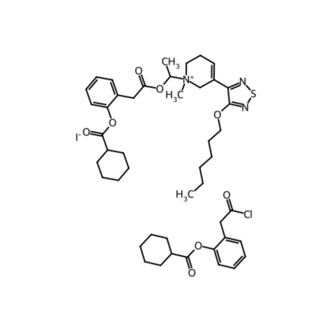 CCCCCCOc1nsnc1C1=CCC[N+](C)(C(C)OC(=O)Cc2ccccc2OC(=O)C2CCCCC2)C1.O=C(Cl)Cc1ccccc1OC(=O)C1CCCCC1.[I-]